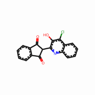 O=C1c2ccccc2C(=O)C1c1nc2ccccc2c(Cl)c1O